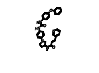 CN(C(=O)/C=C/c1cccnc1)C1CCN(c2ccc(NC(=O)Nc3ccc(Oc4ccccc4)cc3)cc2)C1